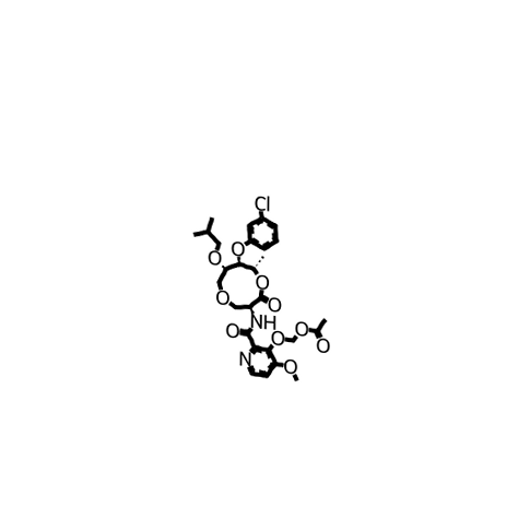 COc1ccnc(C(=O)N[C@H]2COC[C@H](OCC(C)C)[C@@H](Oc3cccc(Cl)c3)[C@H](C)OC2=O)c1OCOC(C)=O